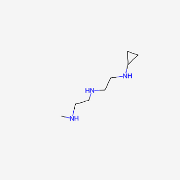 CNCCNCCNC1CC1